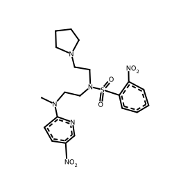 CN(CCN(CCN1CCCC1)S(=O)(=O)c1ccccc1[N+](=O)[O-])c1ccc([N+](=O)[O-])cn1